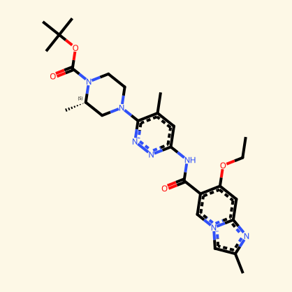 CCOc1cc2nc(C)cn2cc1C(=O)Nc1cc(C)c(N2CCN(C(=O)OC(C)(C)C)[C@@H](C)C2)nn1